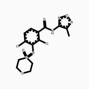 Cc1nonc1NC(=O)c1ccc(Cl)c(N=S2(=O)CCOCC2)c1Cl